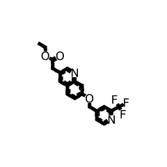 CCOC(=O)Cc1cnc2cc(OCc3ccnc(C(F)(F)F)c3)ccc2c1